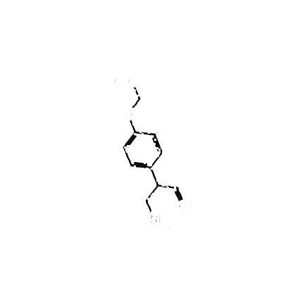 CCOc1ccc(C(C=O)CN)cc1